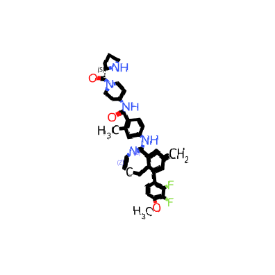 C=C1C=C2/C(Nc3ccc(C(=O)NC4CCN(C(=O)[C@@H]5CCCN5)CC4)c(C)c3)=N\C=C/CCC2C(c2ccc(OC)c(F)c2F)=C1